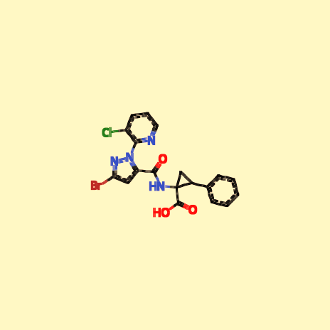 O=C(NC1(C(=O)O)CC1c1ccccc1)c1cc(Br)nn1-c1ncccc1Cl